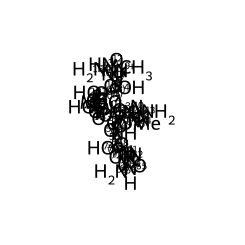 COC[C@H]1[C@@H](O)[C@H](n2c[n+](C)c3c(=O)[nH]c(N)nc32)O[C@@H]1COP(=O)(O)OP(=O)(O)OP(=O)(O)OC[C@H]1O[C@@H](n2cnc3c(N)ncnc32)[C@H](OC)[C@@H]1OS(=O)(=O)NC[C@H]1O[C@@H](n2cnc3c(=O)[nH]c(N)nc32)[C@H](O)[C@@H]1O